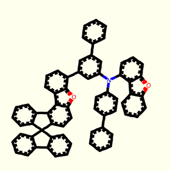 c1ccc(-c2ccc(N(c3cc(-c4ccccc4)cc(-c4cccc5c4oc4ccc6c(c45)-c4ccccc4C64c5ccccc5-c5ccccc54)c3)c3cccc4oc5ccccc5c34)cc2)cc1